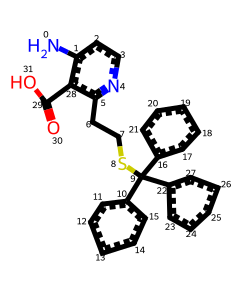 Nc1ccnc(CCSC(c2ccccc2)(c2ccccc2)c2ccccc2)c1C(=O)O